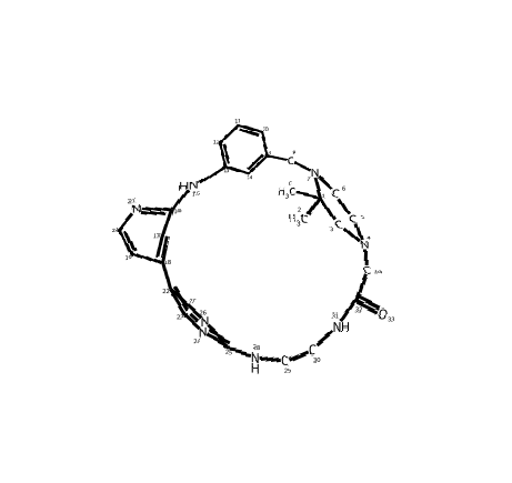 CC1(C)CN2CCN1Cc1cccc(c1)Nc1cc(ccn1)-c1cnc(nc1)NCCNC(=O)C2